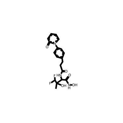 CC(O)(C(F)F)C(NC(=O)CCc1ccc(-n2ccccc2=O)cc1)C(=O)NO